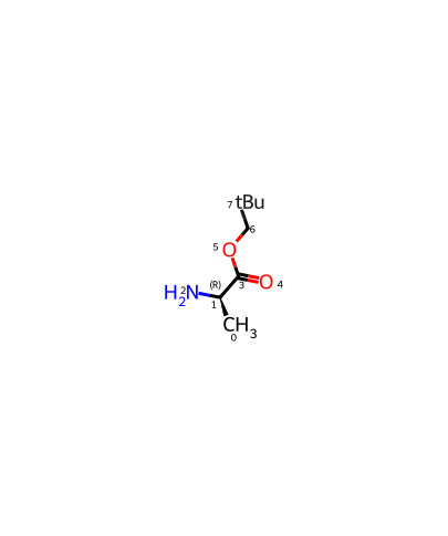 C[C@@H](N)C(=O)OCC(C)(C)C